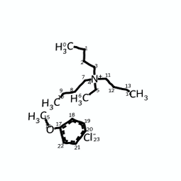 CCCC[N+](CC)(CCCC)CCCC.COc1ccccc1.[Cl-]